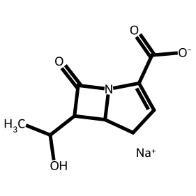 CC(O)C1C(=O)N2C(C(=O)[O-])=CCC12.[Na+]